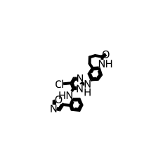 O=C1CCCc2cc(Nc3ncc(Cl)c(Nc4ccccc4-c4cnco4)n3)ccc2N1